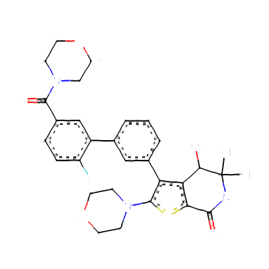 CC1(C)NC(=O)c2sc(N3CCOCC3)c(-c3cccc(-c4cc(C(=O)N5CCOCC5)ccc4F)c3)c2C1O